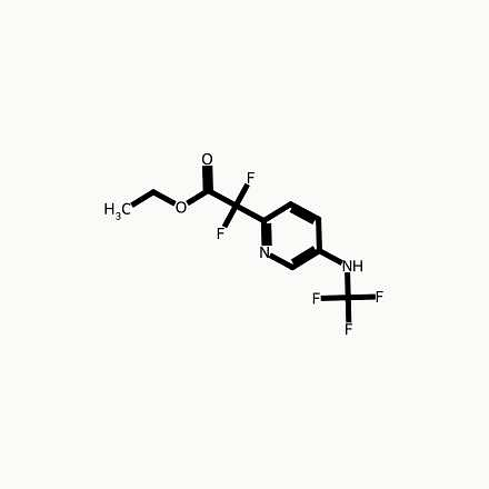 CCOC(=O)C(F)(F)c1ccc(NC(F)(F)F)cn1